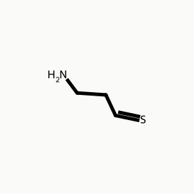 NCCC=S